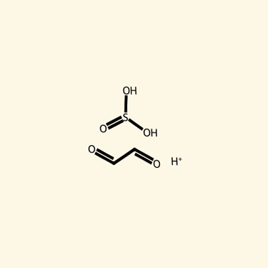 O=CC=O.O=S(O)O.[H+]